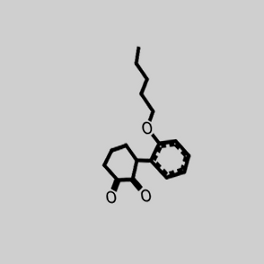 CCCCCOc1ccccc1C1CCCC(=O)C1=O